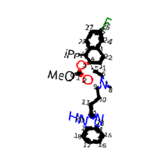 COC(=O)O[C@]1(CCN(C)CCCc2nc3ccccc3[nH]2)CCc2cc(F)ccc2[C@@H]1C(C)C